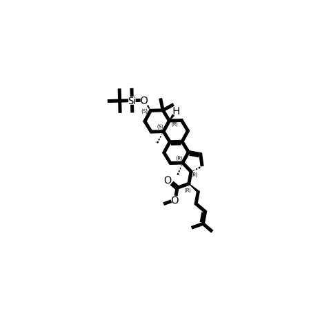 COC(=O)[C@H](CCC=C(C)C)[C@H]1CC=C2C3=C(CC[C@@]21C)[C@@]1(C)CC[C@H](O[Si](C)(C)C(C)(C)C)C(C)(C)[C@@H]1CC3